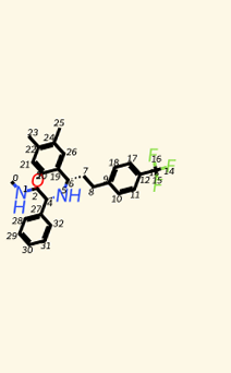 CNC(=O)[C@H](N[C@@H](CCc1ccc(C(F)(F)F)cc1)c1ccc(C)c(C)c1)c1ccccc1